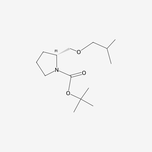 CC(C)COC[C@H]1CCCN1C(=O)OC(C)(C)C